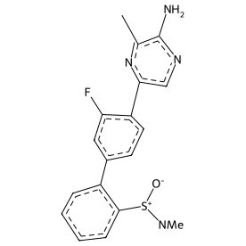 CN[S+]([O-])c1ccccc1-c1ccc(-c2cnc(N)c(C)n2)c(F)c1